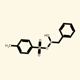 Cc1ccc(S(=O)(=O)ON(O)Cc2ccccc2)cc1